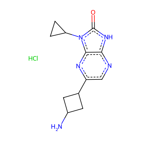 Cl.NC1CC(c2cnc3[nH]c(=O)n(C4CC4)c3n2)C1